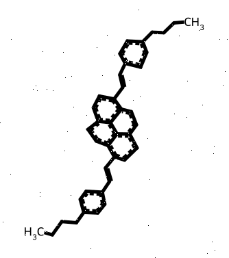 CCCCc1ccc(/C=C/c2ccc3ccc4c(/C=C/c5ccc(CCCC)cc5)ccc5ccc2c3c54)cc1